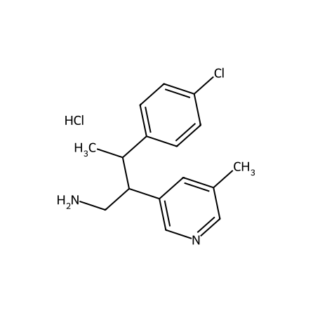 Cc1cncc(C(CN)C(C)c2ccc(Cl)cc2)c1.Cl